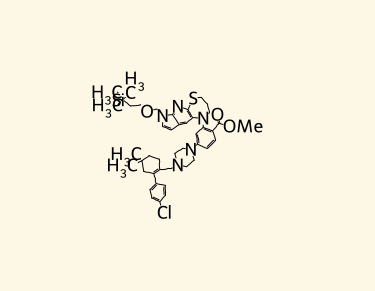 COC(=O)c1ccc(N2CCN(CC3=C(c4ccc(Cl)cc4)CC(C)(C)CC3)CC2)cc1N1CCCSc2nc3c(ccn3COCC[Si](C)(C)C)cc21